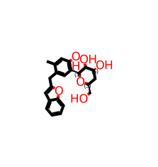 Cc1cc(O)c([C@@H]2O[C@H](CO)C[C@H](O)C2O)cc1Cc1cc2ccccc2o1